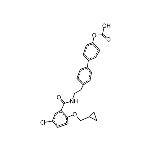 O=C(O)Oc1ccc(-c2ccc(CCNC(=O)c3cc(Cl)ccc3OCC3CC3)cc2)cc1